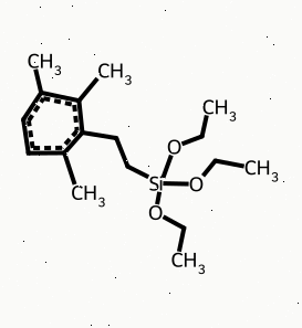 CCO[Si](CCc1c(C)ccc(C)c1C)(OCC)OCC